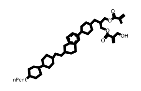 C=C(C)C(=O)OCC(COC(=O)C(=C)CO)CC1CCC(c2ccc3c(c2)CCC(CCC2CCC(C4CCC(CCCCC)CC4)CC2)C3)CC1